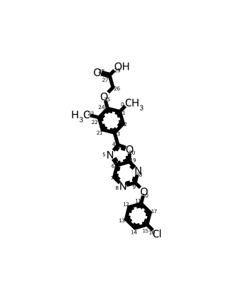 Cc1cc(-c2nc3cnc(Oc4cccc(Cl)c4)nc3o2)cc(C)c1OCC(=O)O